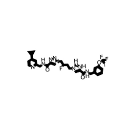 O=C(NCc1cccc(OC(F)(F)I)c1)C1=CN(CCC(F)Cn2cc(C(=O)NCc3cc(C4CC4)ccn3)nn2)NN1